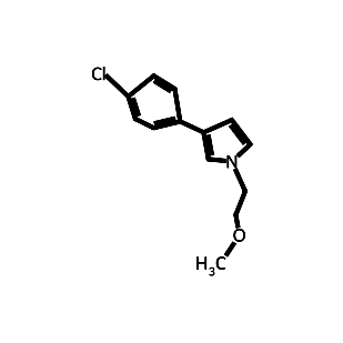 COCCn1ccc(-c2ccc(Cl)cc2)c1